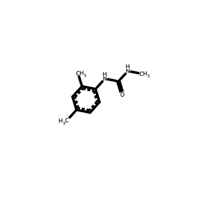 CNC(=O)Nc1ccc(C)cc1C